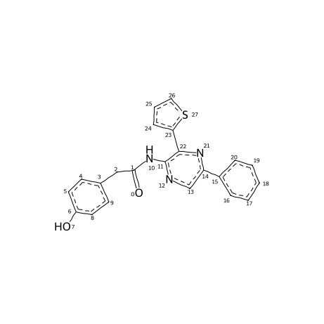 O=C(Cc1ccc(O)cc1)Nc1ncc(-c2ccccc2)nc1-c1cccs1